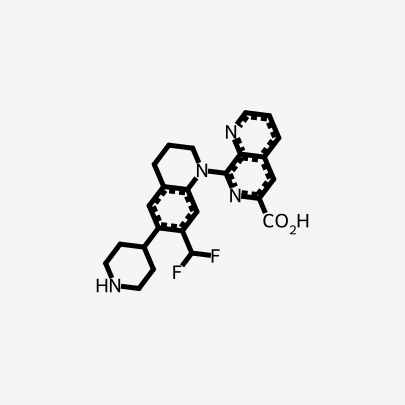 O=C(O)c1cc2cccnc2c(N2CCCc3cc(C4CCNCC4)c(C(F)F)cc32)n1